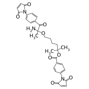 CC(C)(CCCCOC(C)(N)C(=O)c1ccc(N2C(=O)C=CC2=O)cc1)OC(=O)c1ccc(N2C(=O)C=CC2=O)cc1